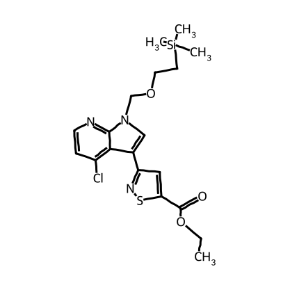 CCOC(=O)c1cc(-c2cn(COCC[Si](C)(C)C)c3nccc(Cl)c23)ns1